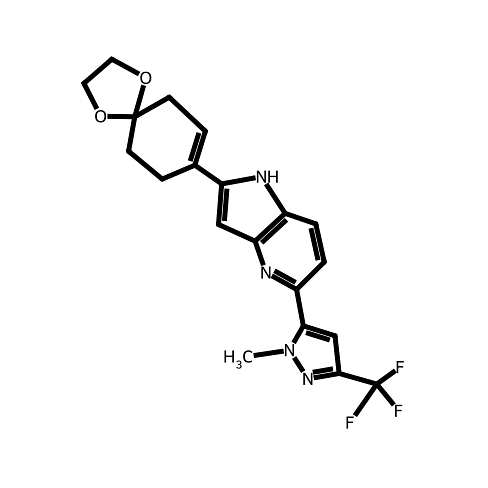 Cn1nc(C(F)(F)F)cc1-c1ccc2[nH]c(C3=CCC4(CC3)OCCO4)cc2n1